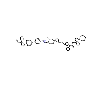 C=CC(=O)Oc1ccc(-c2ccc(/C=C/c3ccc(OCCCOC(=O)C(=C)CC(=O)OC4CCCCC4)cc3C)cc2)cc1